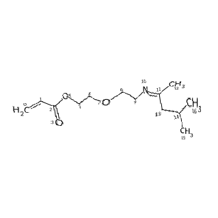 C=CC(=O)OCCOCCN=C(C)CC(C)C